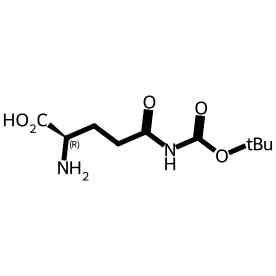 CC(C)(C)OC(=O)NC(=O)CC[C@@H](N)C(=O)O